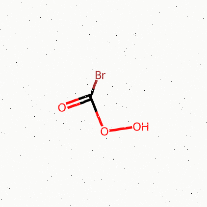 O=C(Br)OO